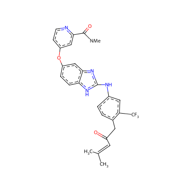 CNC(=O)c1cc(Oc2ccc3[nH]c(Nc4ccc(CC(=O)C=C(C)C)c(C(F)(F)F)c4)nc3c2)ccn1